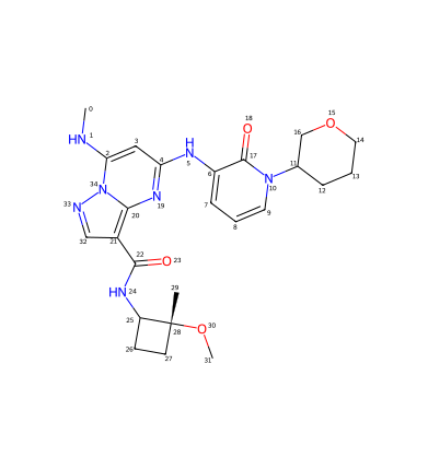 CNc1cc(Nc2cccn(C3CCCOC3)c2=O)nc2c(C(=O)NC3CC[C@@]3(C)OC)cnn12